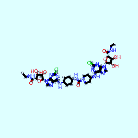 CCNC(=O)[C@H]1O[C@@H](n2cnc3c(NC4CCN(C(=O)N[C@H]5CC[C@H](Nc6nc(Cl)nc7c6ncn7[C@@H]6O[C@H](C(=O)NCC)[C@@H](O)[C@H]6O)CC5)CC4)nc(Cl)nc32)[C@H](O)[C@@H]1O